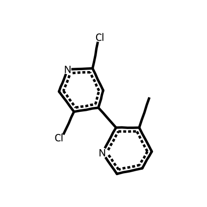 Cc1cccnc1-c1cc(Cl)ncc1Cl